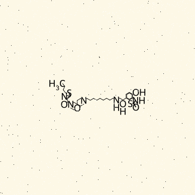 CCCc1nc(C(=O)N2CCOC3(CCN(CCCCCCCCCNCC(O)c4ccc(O)c5[nH]c(=O)sc45)CC3)C2)cs1